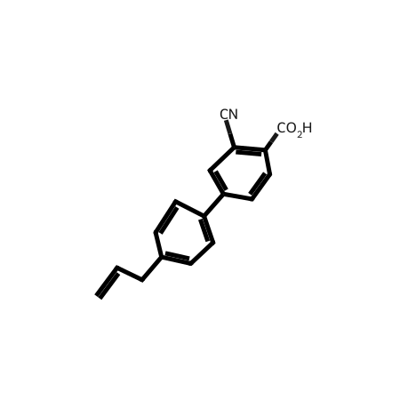 C=CCc1ccc(-c2ccc(C(=O)O)c(C#N)c2)cc1